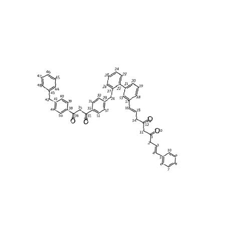 O=C(C/C=C/c1ccccc1)CC(=O)C/C=C/c1cccc(-c2ccccc2Cc2ccc(C(=O)CC(=O)c3ccc(Cc4ccccc4)cc3)cc2)c1